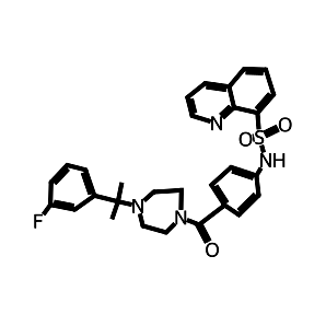 CC(C)(c1cccc(F)c1)N1CCN(C(=O)c2ccc(NS(=O)(=O)c3cccc4cccnc34)cc2)CC1